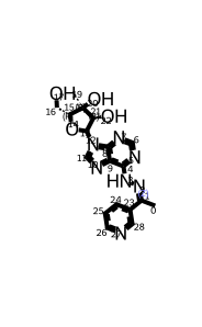 C/C(=N/Nc1ncnc2c1ncn2C1O[C@H](CO)[C@@](C)(O)[C@H]1O)c1cccnc1